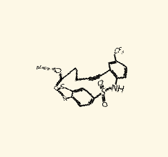 COC(=O)CCC#Cc1cc(C(F)(F)F)ccc1NS(=O)(=O)c1ccc2ncsc2c1